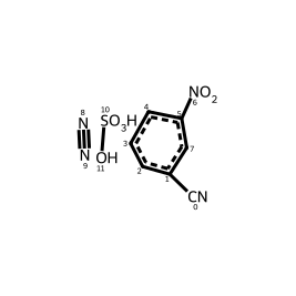 N#Cc1cccc([N+](=O)[O-])c1.N#N.O=S(=O)(O)O